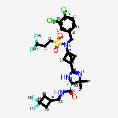 CC1(C)N=C(C23CC(N(Cc4ccc(Cl)c(Cl)c4)S(=O)(=O)CCC(F)F)(C2)C3)N[C@H]1C(=O)NCC1CC(F)(F)C1